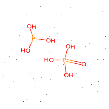 O=P(O)(O)O.OP(O)O